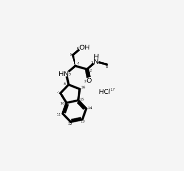 CNC(=O)[C@H](CO)NC1Cc2ccccc2C1.Cl